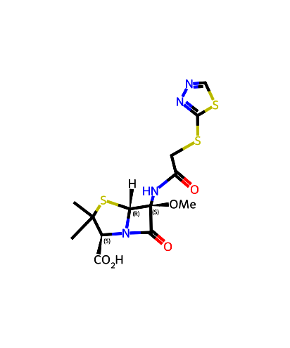 CO[C@@]1(NC(=O)CSc2nncs2)C(=O)N2[C@@H](C(=O)O)C(C)(C)S[C@@H]21